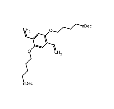 C=Cc1cc(OCCCCCCCCCCCCCC)c(C=C)cc1OCCCCCCCCCCCCCC